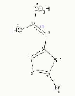 O=C(O)/C(O)=C/c1ccc(Br)s1